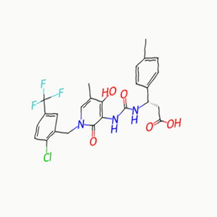 Cc1ccc([C@H](CC(=O)O)NC(=O)Nc2c(O)c(C)cn(Cc3cc(C(F)(F)F)ccc3Cl)c2=O)cc1